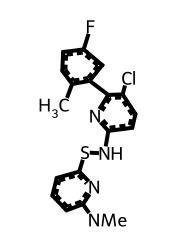 CNc1cccc(SNc2ccc(Cl)c(-c3cc(F)ccc3C)n2)n1